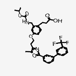 Cc1oc(-c2cccc(-c3cccc(C(F)(F)F)c3)c2)nc1CCOc1ccc(CCC(=O)O)c(CNC(=O)OC(C)C)c1